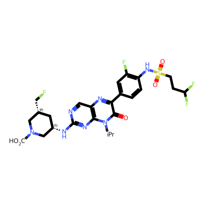 CC(C)n1c(=O)c(-c2ccc(NS(=O)(=O)CCC(F)F)c(F)c2)nc2cnc(N[C@H]3C[C@@H](CF)CN(C(=O)O)C3)nc21